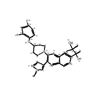 Cn1cc(-c2nc3cnc(C(C)(O)C(C)(C)O)cc3nc2N2CCC(Oc3ccc(F)cc3F)CC2)cn1